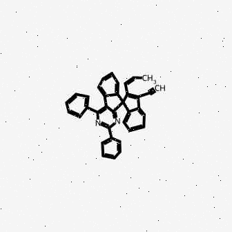 C#CC1=C(/C=C\C)C2(c3ccccc31)c1ccccc1-c1c(-c3ccccc3)nc(-c3ccccc3)nc12